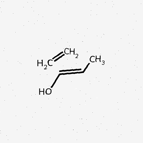 C=C.CC=CO